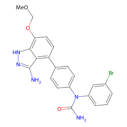 COCOc1ccc(-c2ccc(N(C(N)=O)c3cccc(Br)c3)cc2)c2c(N)n[nH]c12